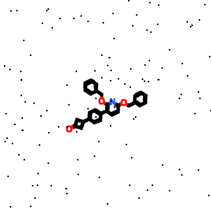 O=C1CC(c2ccc(-c3ccc(OCc4ccccc4)nc3OCc3ccccc3)cc2)C1